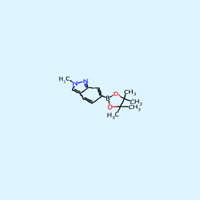 Cn1cc2ccc(B3OC(C)(C)C(C)(C)O3)cc2n1